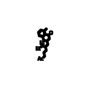 CCC(CC)C(CCCC(C)=O)CC1CC(=O)c2c(C)cccc2C1